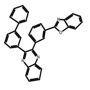 c1ccc(-c2cccc(-c3nc4ccccc4nc3-c3cccc(-c4nc5ccccc5o4)c3)c2)cc1